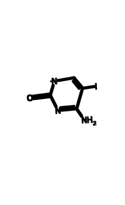 NC1=NC(=O)[N]C=C1I